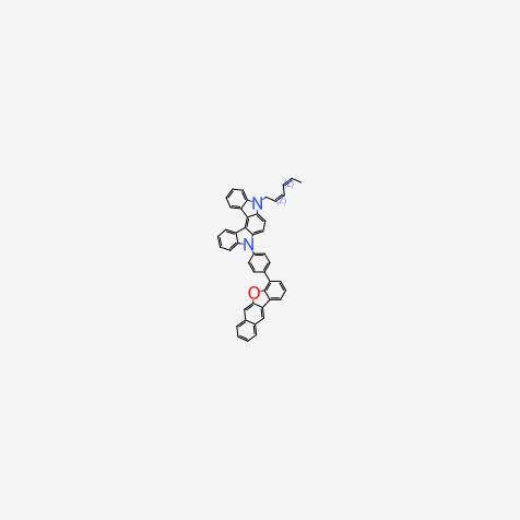 C/C=C\C=C/Cn1c2ccccc2c2c3c4ccccc4n(-c4ccc(-c5cccc6c5oc5cc7ccccc7cc56)cc4)c3ccc21